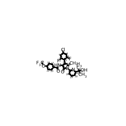 Cn1c(-c2c(F)cc(Cl)cc2F)c(NC(=O)c2ccc(OC(F)(F)F)cc2)c(=O)n1-c1cccc(C(C)(C)O)n1